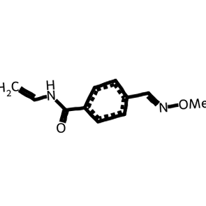 C=CNC(=O)c1ccc(C=NOC)cc1